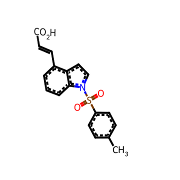 Cc1ccc(S(=O)(=O)n2ccc3c(/C=C/C(=O)O)cccc32)cc1